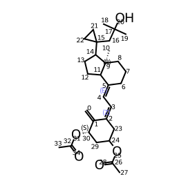 C=C1/C(=C\C=C2/CCC[C@@]3(C)C2CCC3C2(CC(C)(C)O)CC2)CC(OC(C)=O)C[C@@H]1OC(C)=O